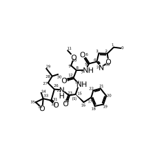 CCc1cc(C(=O)NC(COC)C(=O)N[C@@H](Cc2ccccc2)C(=O)NC(CC(C)C)C(=O)C2(C)CO2)no1